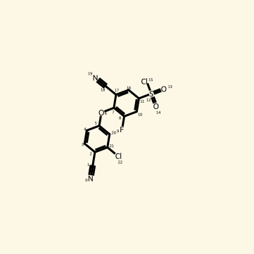 N#Cc1ccc(Oc2c(F)cc(S(=O)(=O)Cl)cc2C#N)cc1Cl